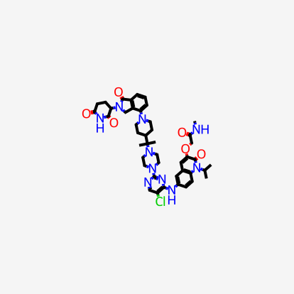 CNC(=O)COc1cc2cc(Nc3nc(N4CCN(C(C)(C)C5CCN(c6cccc7c6CN(C6CCC(=O)NC6=O)C7=O)CC5)CC4)ncc3Cl)ccc2n(C(C)C)c1=O